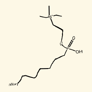 CCCCCCCCCCCCCCCP(=O)(O)OCC[N+](C)(C)C